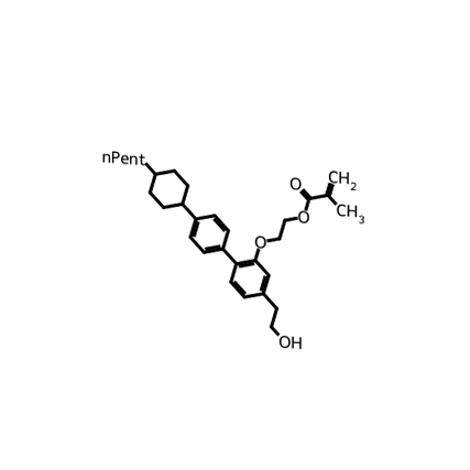 C=C(C)C(=O)OCCOc1cc(CCO)ccc1-c1ccc(C2CCC(CCCCC)CC2)cc1